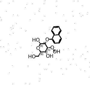 OC[C@H]1O[C@@H](O)[C@H](Oc2cccc3ccccc23)[C@@H](OO)[C@@H]1O